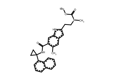 Cc1cc2cc(CCN(C)C(=O)OC(C)(C)C)[nH]c2cc1C(=O)NC1(c2cccc3ccccc23)CC1